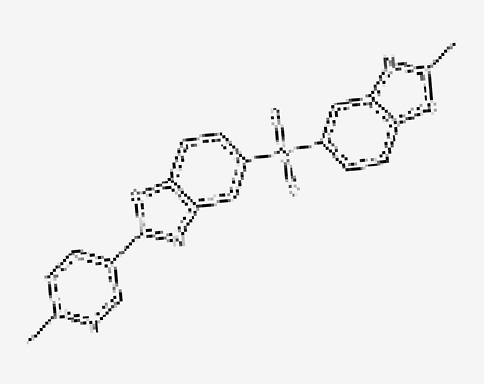 Cc1ccc(-c2nc3cc(S(=O)(=O)c4ccc5oc(C)nc5c4)ccc3o2)cn1